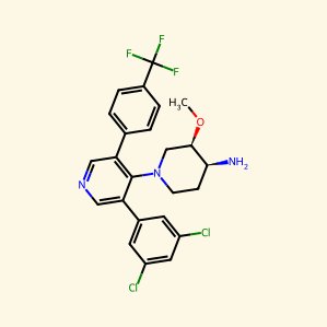 CO[C@@H]1CN(c2c(-c3ccc(C(F)(F)F)cc3)cncc2-c2cc(Cl)cc(Cl)c2)CC[C@@H]1N